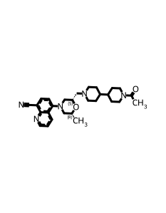 CC(=O)N1CCC(C2CCN(C[C@H]3CN(c4ccc(C#N)c5ncccc45)C[C@@H](C)O3)CC2)CC1